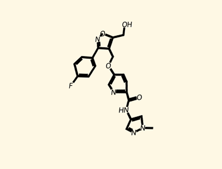 Cn1cc(NC(=O)c2ccc(OCc3c(-c4ccc(F)cc4)noc3CO)cn2)cn1